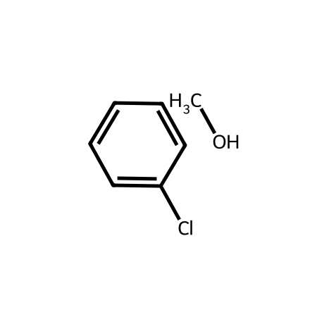 CO.Clc1ccccc1